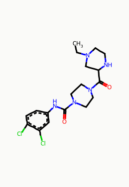 CCN1CCNC(C(=O)N2CCN(C(=O)Nc3ccc(Cl)c(Cl)c3)CC2)C1